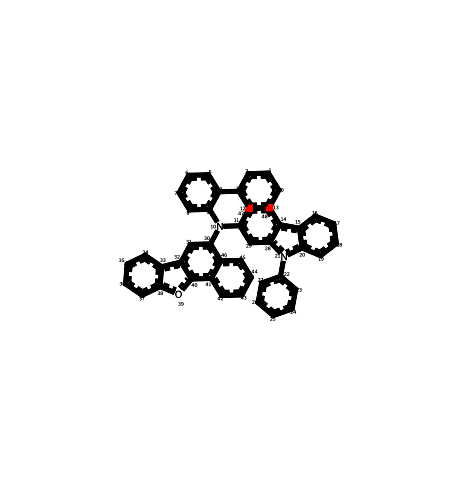 c1ccc(-c2ccccc2N(c2ccc3c4ccccc4n(-c4ccccc4)c3c2)c2cc3c4ccccc4oc3c3ccccc23)cc1